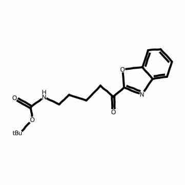 CC(C)(C)OC(=O)NCCCCC(=O)c1nc2ccccc2o1